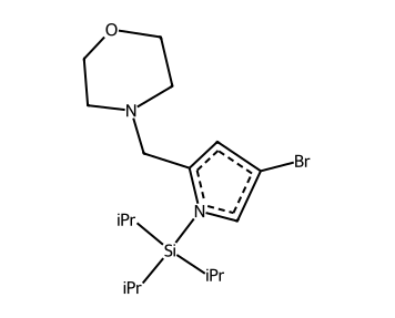 CC(C)[Si](C(C)C)(C(C)C)n1cc(Br)cc1CN1CCOCC1